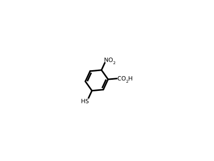 O=C(O)C1=CC(S)C=CC1[N+](=O)[O-]